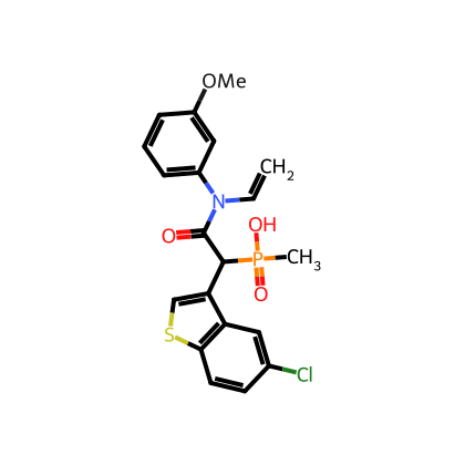 C=CN(C(=O)C(c1csc2ccc(Cl)cc12)P(C)(=O)O)c1cccc(OC)c1